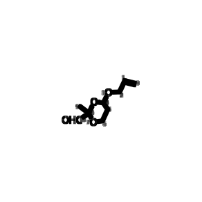 C=CCOC1CCOC(C)(C=O)O1